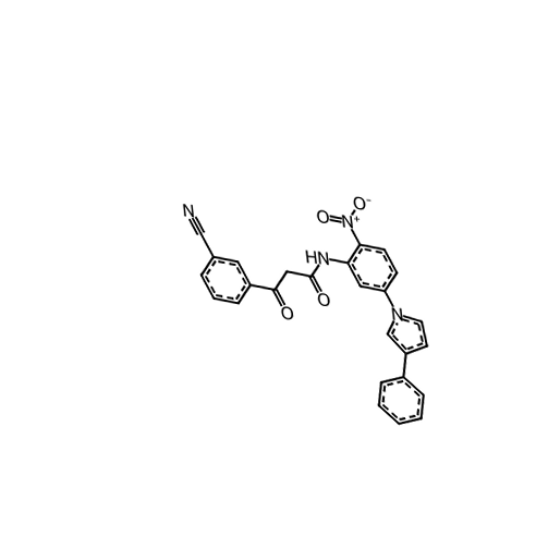 N#Cc1cccc(C(=O)CC(=O)Nc2cc(-n3ccc(-c4ccccc4)c3)ccc2[N+](=O)[O-])c1